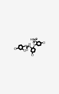 O=C(Nc1ccc(Cl)cc1Cl)Nc1cc(Cl)ccc1Sc1ccc(Cl)cc1S(=O)(=O)O